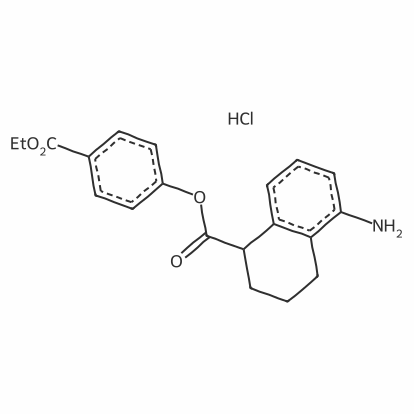 CCOC(=O)c1ccc(OC(=O)C2CCCc3c(N)cccc32)cc1.Cl